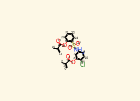 C=C(C)C(=O)Oc1ccccc1Cl.C=C(C)C(=O)Oc1ccccc1S(N)(=O)=O